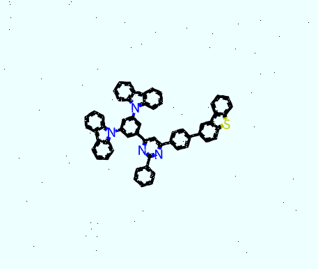 c1ccc(-c2nc(-c3ccc(-c4ccc5sc6ccccc6c5c4)cc3)cc(-c3cc(-n4c5ccccc5c5ccccc54)cc(-n4c5ccccc5c5ccccc54)c3)n2)cc1